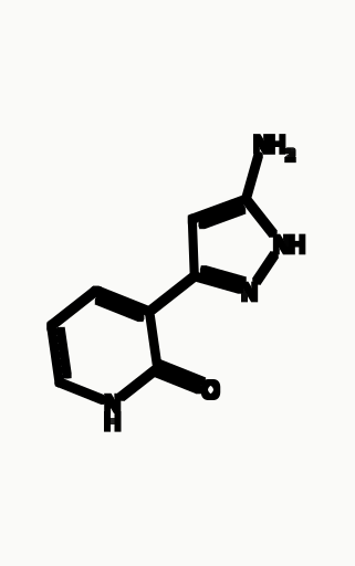 Nc1cc(-c2ccc[nH]c2=O)n[nH]1